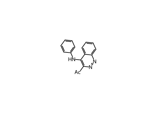 CC(=O)c1nnc2ccccc2c1Nc1ccccc1